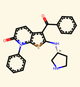 O=C(c1ccccc1)c1c(N[C@@H]2CCNC2)sc2c1ccc(=O)n2-c1ccccc1